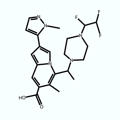 Cc1c(C(=O)O)cc2cc(-c3ccnn3C)cn2c1C(C)N1CCN(C(F)C(F)F)CC1